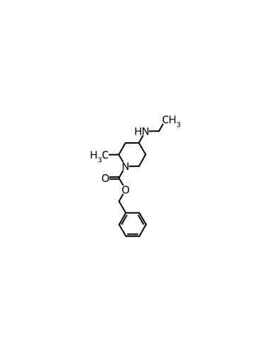 CCNC1CCN(C(=O)OCc2ccccc2)C(C)C1